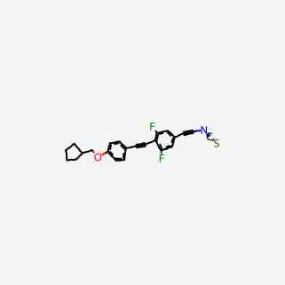 Fc1cc(C#CN=C=S)cc(F)c1C#Cc1ccc(OCC2CCCC2)cc1